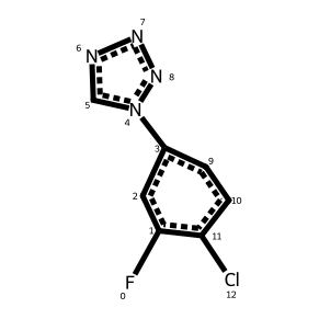 Fc1[c]c(-n2cnnn2)ccc1Cl